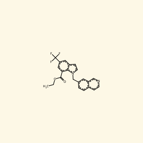 CCOC(=O)c1cc(C(F)(F)F)cc2ccn(Cc3ccc4ccncc4c3)c12